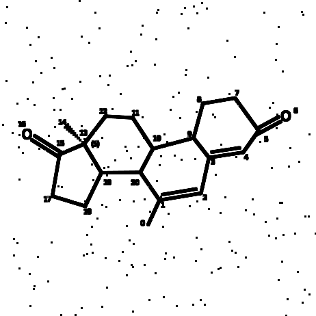 CC1=CC2=CC(=O)CCC2C2CC[C@]3(C)C(=O)CCC3C12